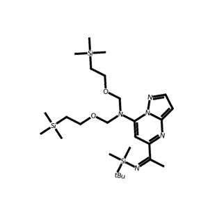 C/C(=N/[Si](C)(C)C(C)(C)C)c1cc(N(COCC[Si](C)(C)C)COCC[Si](C)(C)C)n2nccc2n1